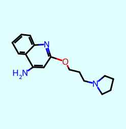 Nc1cc(OCCCN2CCCC2)nc2ccccc12